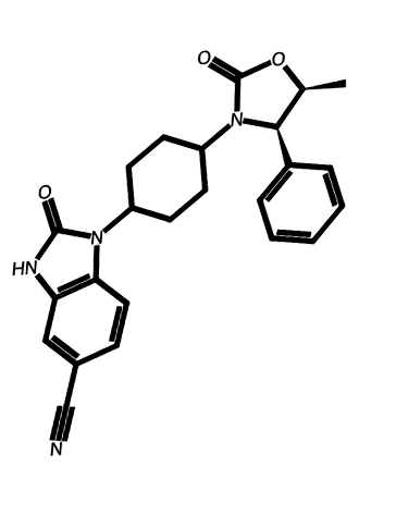 C[C@@H]1OC(=O)N(C2CCC(n3c(=O)[nH]c4cc(C#N)ccc43)CC2)[C@@H]1c1ccccc1